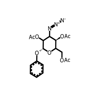 CC(=O)OCC1O[C@H](Oc2ccccc2)C(OC(C)=O)C(N=[N+]=[N-])[C@H]1OC(C)=O